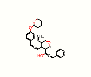 C=CC1CO[C]C(C(O)=C=Cc2ccccc2)C1C=C=Cc1ccc(OC2CCCCO2)cc1